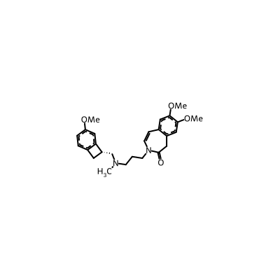 COc1ccc2c(c1)[C@H](CN(C)CCCN1C=Cc3cc(OC)c(OC)cc3CC1=O)C2